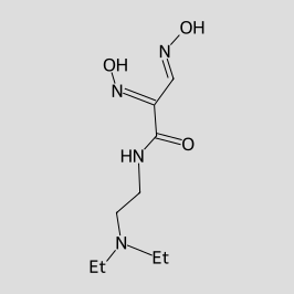 CCN(CC)CCNC(=O)C(C=NO)=NO